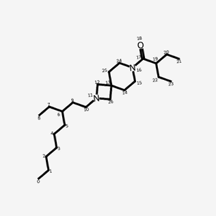 CCCCCCC(CC)CCN1CC2(CCN(C(=O)C(CC)CC)CC2)C1